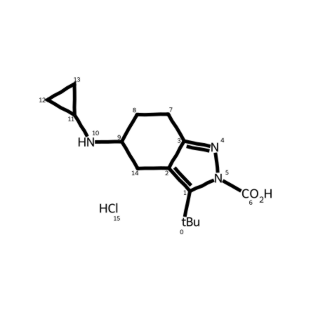 CC(C)(C)c1c2c(nn1C(=O)O)CCC(NC1CC1)C2.Cl